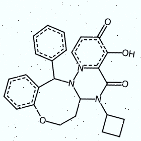 O=C1c2c(O)c(=O)ccn2N2C(c3ccccc3)c3ccccc3OCCC2N1C1CCC1